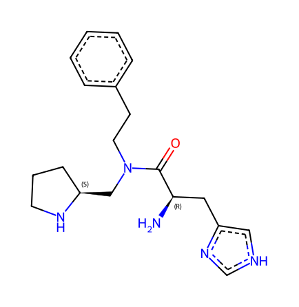 N[C@H](Cc1c[nH]cn1)C(=O)N(CCc1ccccc1)C[C@@H]1CCCN1